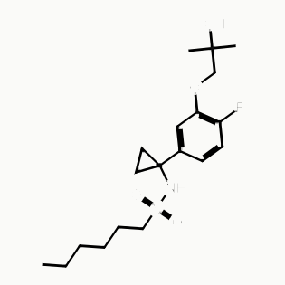 CCCCCCS(=O)(=O)NC1(c2ccc(F)c(OCC(C)(C)O)c2)CC1